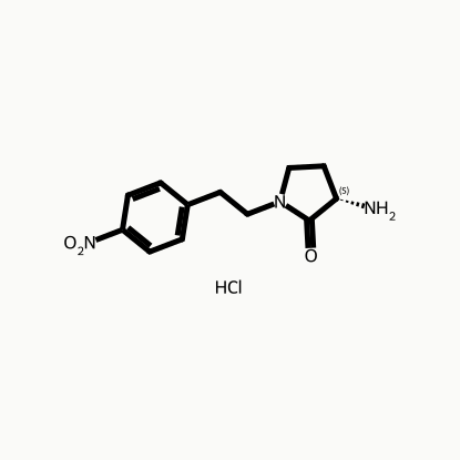 Cl.N[C@H]1CCN(CCc2ccc([N+](=O)[O-])cc2)C1=O